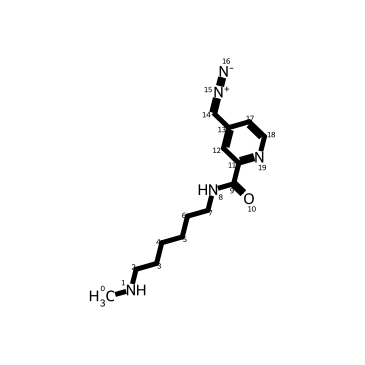 CNCCCCCCNC(=O)c1cc(C=[N+]=[N-])ccn1